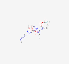 C=C/C=C\C=C(/C)CN1CCOC(C(=O)N(CC(/C=C2\COCC(F)(F)CC3CC23)=C/C=C)CC(C)C)C1